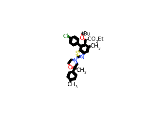 CCOC(=O)[C@@H](OC(C)(C)C)c1c(C)cc2nc(N3CCOC(C)(c4ccc(C)cc4)C3)sc2c1-c1ccc(Cl)cc1